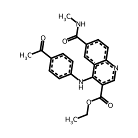 CCOC(=O)c1cnc2ccc(C(=O)NC)cc2c1Nc1ccc(C(C)=O)cc1